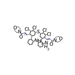 Nc1ccccc1-c1cc(Sc2cc(-c3ccccc3N)c(/C=C/C(=O)N3CCOCC3)c(Cl)c2Cl)c(Cl)c(Cl)c1/C=C/C(=O)N1CCOCC1